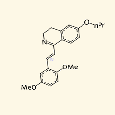 CCCOc1ccc2c(c1)CCN=C2/C=C/c1cc(OC)ccc1OC